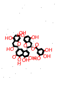 O=C(O[C@H]1Cc2c(O)cc(O)cc2O[C@H]1c1cc(O)c(O)c2c(O)c(=O)cc([C@@H]3Oc4cc(O)cc(O)c4C[C@@H]3O)cc12)c1cc(O)c(O)c(O)c1